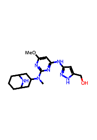 COc1cc(Nc2cc(CO)[nH]n2)nc(N(C)C2CC3CCCC(C2)N3)n1